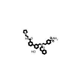 Cl.NS(=O)(=O)c1ccc(CCN(Cc2cccc(-c3cccc(C(=O)NCCN4CCCC4)c3)c2)C(=O)C=Cc2ccccc2)cc1